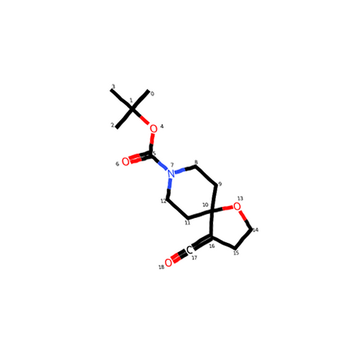 CC(C)(C)OC(=O)N1CCC2(CC1)OCCC2=C=O